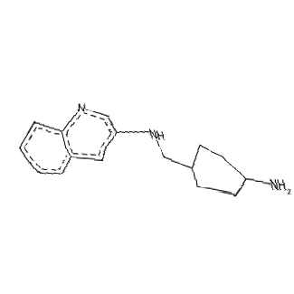 NC1CCC(CNc2cnc3ccccc3c2)CC1